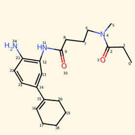 CCC(=O)N(C)CCCC(=O)Nc1cc(C2=CCCCC2)ccc1N